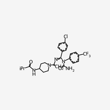 C=C(/N=C(/c1ccc(Cl)cc1)N(C(N)=O)c1ccc(C(F)(F)F)cc1)N1CCC(NC(=O)C(C)C)CC1